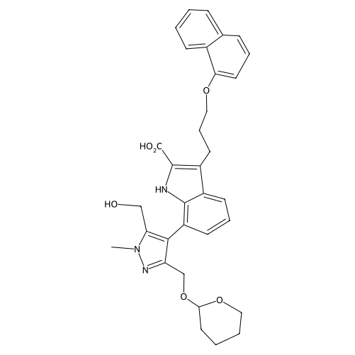 Cn1nc(COC2CCCCO2)c(-c2cccc3c(CCCOc4cccc5ccccc45)c(C(=O)O)[nH]c23)c1CO